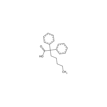 CCCCCC(C(=O)O)(c1ccccc1)c1ccccc1